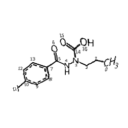 CCCN(NC(=O)c1ccc(I)cc1)C(=O)O